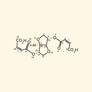 O=C(O)/C=C\C(=O)O[C@H]1CO[C@H]2C1OC[C@@H]2OC(=O)/C=C\C(=O)O